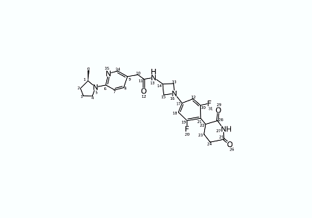 C[C@@H]1CCCN1c1ccc(CC(=O)NC2CN(c3cc(F)c(C4CCC(=O)NC4=O)c(F)c3)C2)cn1